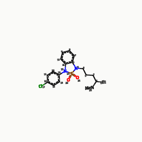 CCC(CCCN1c2ccccc2N(c2ccc(Cl)cc2)S1(=O)=O)NC